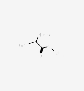 CCCCCC(CCCC)C(=O)O[SiH3]